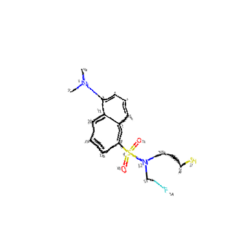 CN(C)c1cccc2c(S(=O)(=O)N(CF)CCS)cccc12